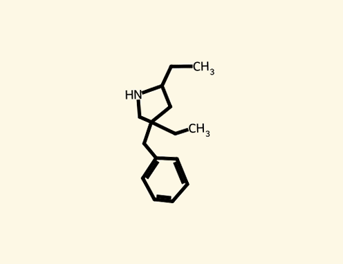 CCC1CC(CC)(Cc2ccccc2)CN1